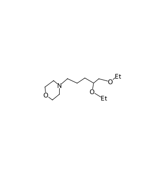 CCOCC(CCCN1CCOCC1)OCC